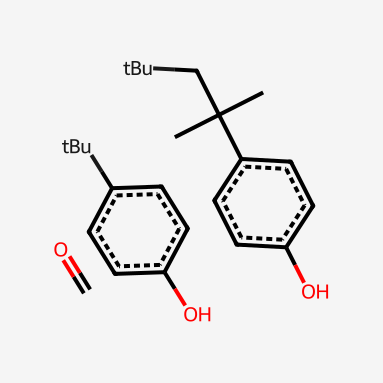 C=O.CC(C)(C)CC(C)(C)c1ccc(O)cc1.CC(C)(C)c1ccc(O)cc1